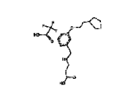 O=C(O)C(F)(F)F.O=C(O)CCNCc1cccc(OCCC2CCCC2)c1